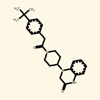 CC(C)(C)c1ccc(CC(=O)N2CCC(N3CC(=O)Nc4ccccc43)CC2)cc1